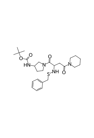 CC(C)(C)OC(=O)NC1CCN(C(=O)C(CC(=O)N2CCCCC2)NSCc2ccccc2)C1